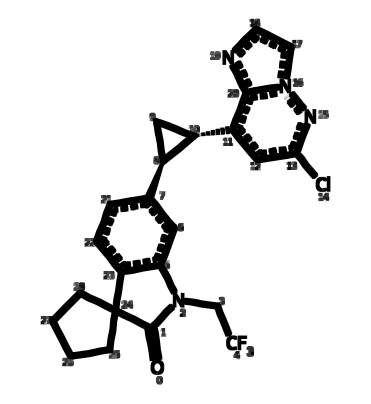 O=C1N(CC(F)(F)F)c2cc([C@H]3C[C@@H]3c3cc(Cl)nn4ccnc34)ccc2C12CCCC2